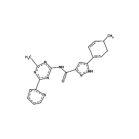 Cc1nc(NC(=O)c2cc(C3=CCC(C)C=C3)[nH]n2)nc(-c2ccccn2)n1